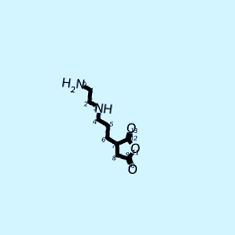 NCCNCCCC1CC(=O)OC1=O